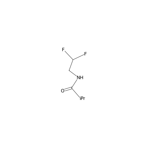 CC(C)C(=O)NCC(F)F